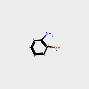 NC1=C(S)C=C=C=C1